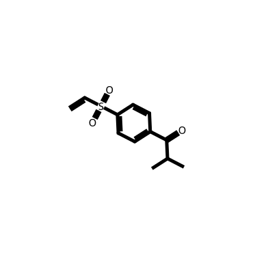 C=CS(=O)(=O)c1ccc(C(=O)C(C)C)cc1